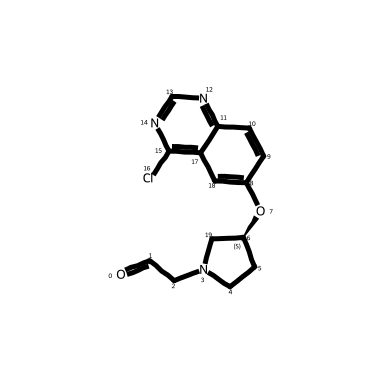 O=[C]CN1CC[C@H](Oc2ccc3ncnc(Cl)c3c2)C1